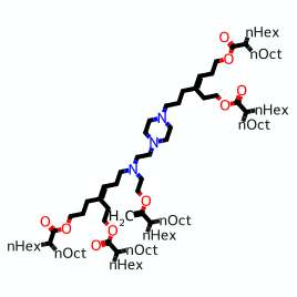 C=C(OCCN(CC/C=C(/CCCOC(=O)C(CCCCCC)CCCCCCCC)CCOC(=O)C(CCCCCC)CCCCCCCC)CCN1CCN(CCC/C(=C/CCOC(=O)C(CCCCCC)CCCCCCCC)CCOC(=O)C(CCCCCC)CCCCCCCC)CC1)C(CCCCCC)CCCCCCCC